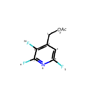 CC(=O)OCc1cc(F)nc(F)c1F